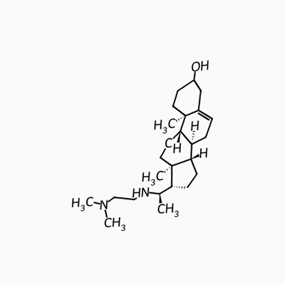 C[C@@H](NCCN(C)C)[C@H]1CC[C@H]2[C@@H]3CC=C4CC(O)CC[C@]4(C)[C@H]3CC[C@]12C